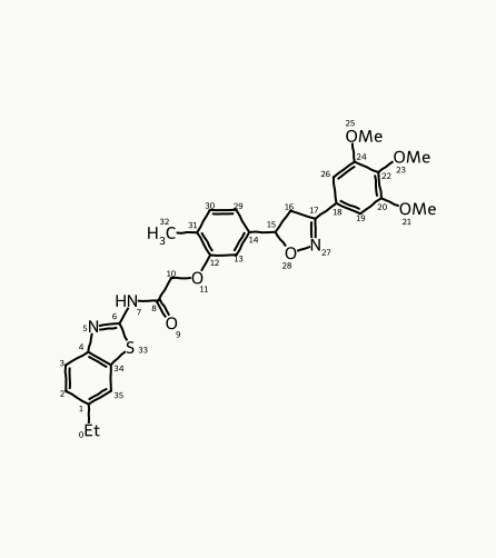 CCc1ccc2nc(NC(=O)COc3cc(C4CC(c5cc(OC)c(OC)c(OC)c5)=NO4)ccc3C)sc2c1